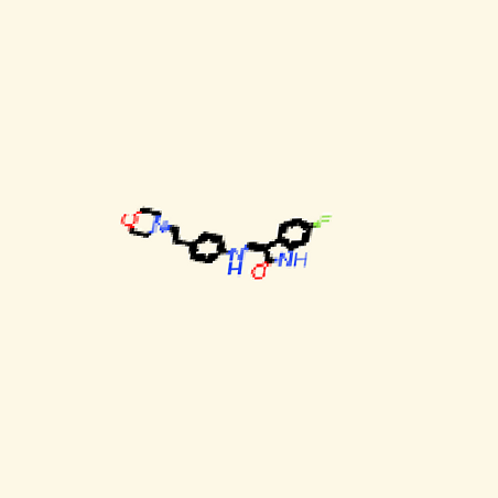 O=C1Nc2cc(F)ccc2C1=CNc1ccc(CCN2CCOCC2)cc1